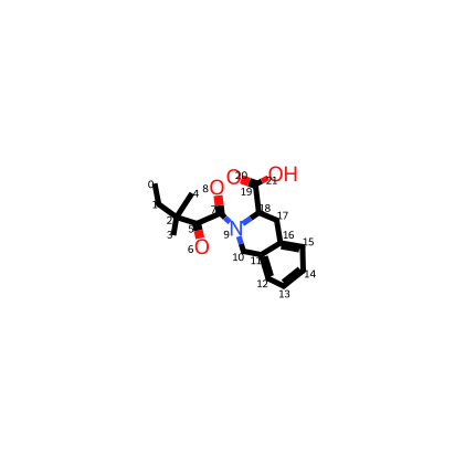 CCC(C)(C)C(=O)C(=O)N1Cc2ccccc2CC1C(=O)O